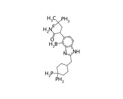 Bc1c(C(CC(C)(F)P)C(N)=O)ccc2[nH]c(CC3CCC(P)(P)CC3)nc12